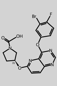 O=C(O)N1CC[C@H](Oc2ccc3ncnc(Oc4ccc(F)c(Br)c4)c3n2)C1